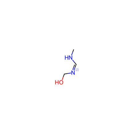 CN/C=N\CO